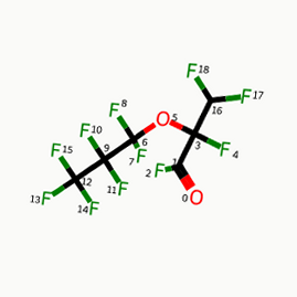 O=C(F)C(F)(OC(F)(F)C(F)(F)C(F)(F)F)C(F)F